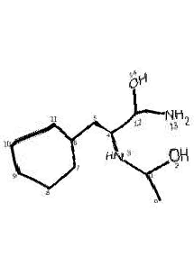 CC(O)N[C@@H](CC1CCCCC1)C(N)O